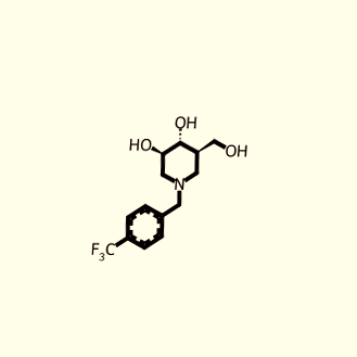 OC[C@H]1CN(Cc2ccc(C(F)(F)F)cc2)C[C@@H](O)[C@@H]1O